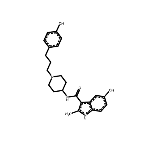 Cc1[nH]c2ccc(O)cc2c1C(=O)NC1CCN(CCCc2ccc(O)cc2)CC1